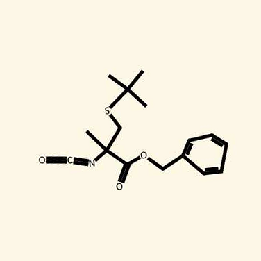 CC(C)(C)SCC(C)(N=C=O)C(=O)OCc1ccccc1